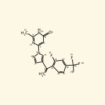 C=C(c1cnn(-c2cc(=O)[nH]c(C)n2)c1)c1ccc(C(F)(F)F)cc1F